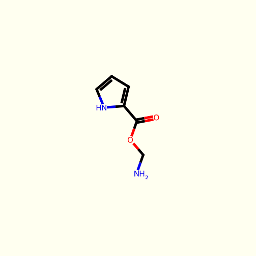 NCOC(=O)c1ccc[nH]1